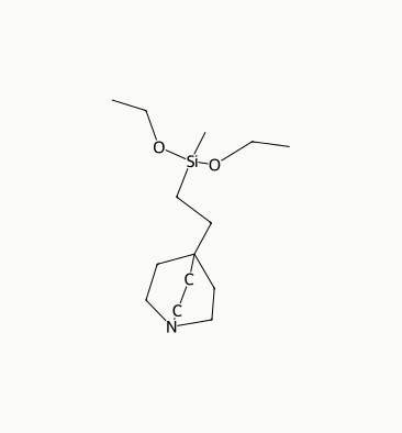 CCO[Si](C)(CCC12CCN(CC1)CC2)OCC